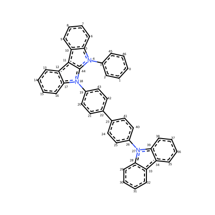 c1ccc(-n2c3ccccc3c3c4ccccc4n(-c4ccc(-c5ccc(-n6c7ccccc7c7ccccc76)cc5)cc4)c32)cc1